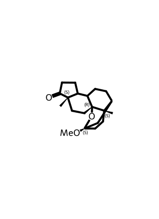 CO[C@@]12CC[C@@]3(C)C(CCC4C5CCC(=O)[C@@]5(C)CC[C@@]43O1)C2